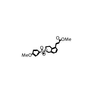 COC(=O)/C=C/c1cccc2c1CCN(S(=O)(=O)c1ccc(OC)cc1)C2